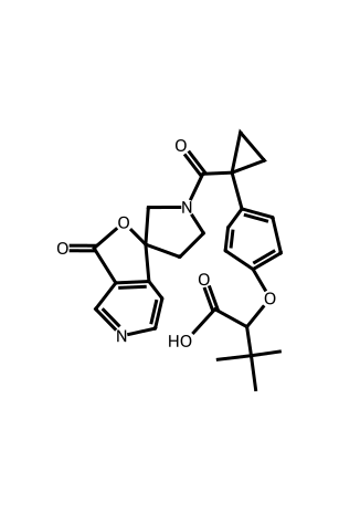 CC(C)(C)C(Oc1ccc(C2(C(=O)N3CCC4(C3)OC(=O)c3cnccc34)CC2)cc1)C(=O)O